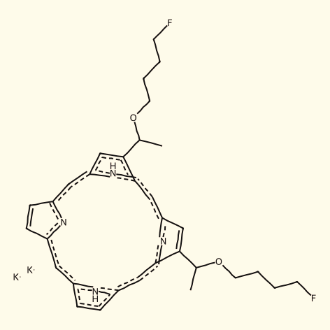 CC(OCCCCF)C1=Cc2cc3[nH]c(cc4nc(cc5ccc(cc1n2)[nH]5)C=C4)cc3C(C)OCCCCF.[K].[K]